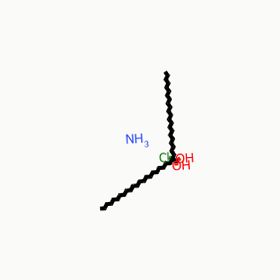 CCCCCCCCCCCCCCCCCCCCCCC(Cl)(CCCCCCCCCCCCCCCCCCCCCC)C(O)O.N